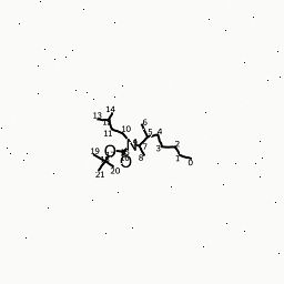 CCCCCC(C)C(C)N(CCC(C)C)C(=O)OC(C)(C)C